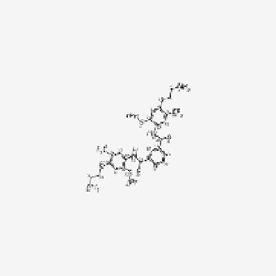 CCCSc1cc(SCCN)c(C(F)(F)F)cc1NC(=O)c1cc(C(=O)Nc2cc(C(F)(F)F)c(SCCN)cc2SCCC)ncn1